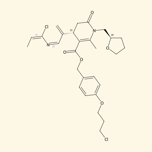 C=C(/C=N\C(Cl)=C/C)[C@@H]1CC(=O)N(C[C@H]2CCCO2)C(C)=C1C(=O)OCc1ccc(OCCCCl)cc1